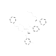 CC(c1cccc(-c2ccccc2C(=O)NCCN)c1)N(C(=O)Cc1cccc(Cl)c1)C1CCN(Cc2ccccc2)CC1